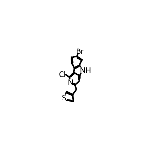 Clc1nc(Cc2ccsc2)cc2[nH]c3cc(Br)ccc3c12